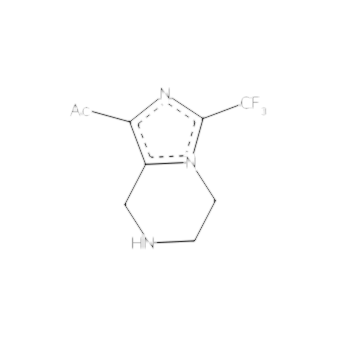 CC(=O)c1nc(C(F)(F)F)n2c1CNCC2